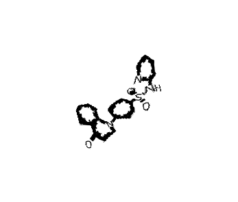 O=c1ccn(-c2ccc(S(=O)(=O)Nc3ccccn3)cc2)c2ccccc12